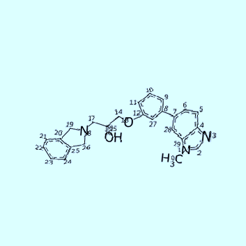 Cn1cnc2ccc(-c3cccc(OC[C@H](O)CN4Cc5ccccc5C4)c3)cc21